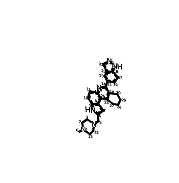 CN1CCN(Cc2cc3c(ccc4nc(-c5ccc6[nH]ncc6c5)c5c(c43)CCCC5)[nH]2)CC1